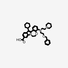 O=C(O)c1ccc2c(C3CCCCC3)c3n(c2c1)CCOc1c-3cccc1N(CCOCc1ccccc1)CCN1CCCCC1